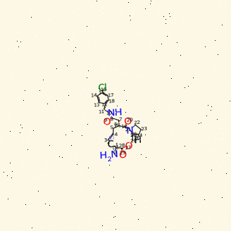 N[C@H]1C/C=C/C[C@@H](CC(=O)NCc2ccc(Cl)cc2)C(=O)N2CCC[C@H]2COC1=O